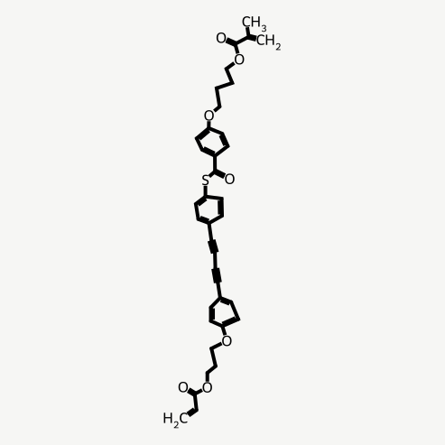 C=CC(=O)OCCCOc1ccc(C#CC#Cc2ccc(SC(=O)c3ccc(OCCCCOC(=O)C(=C)C)cc3)cc2)cc1